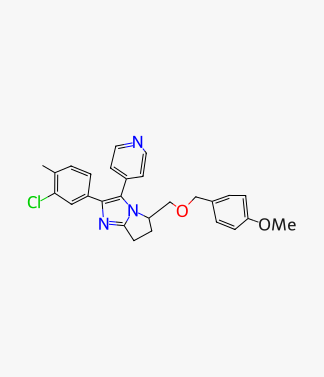 COc1ccc(COCC2CCc3nc(-c4ccc(C)c(Cl)c4)c(-c4ccncc4)n32)cc1